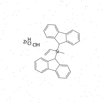 C=C[Si](C)(C1c2ccccc2-c2ccccc21)C1c2ccccc2-c2ccccc21.Cl.Cl.[Zr]